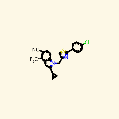 N#Cc1ccc2c(cc(C3CC3)n2Cc2csc(-c3ccc(Cl)cc3)n2)c1C(F)(F)F